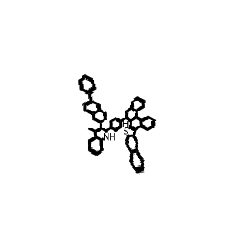 CC1=C(c2ccc3cc(-c4ccccc4)ccc3c2)C(c2ccc(C3=Cc4ccccc4C4c5ccccc5-c5c(sc6cc7ccccc7cc56)[C@H]34)cc2)Nc2ccccc21